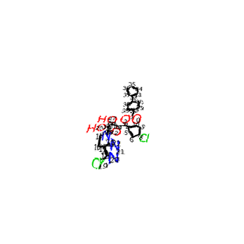 O=C(OC(c1ccc(Cl)cc1)[C@H]1O[C@@H](n2ccc3c(Cl)ncnc32)[C@H](O)[C@@H]1O)c1ccc(-c2ccccc2)cc1